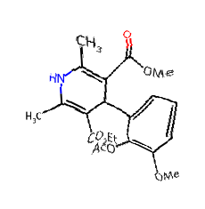 CCOC(=O)C1=C(C)NC(C)=C(C(=O)OC)C1c1cccc(OC)c1OC(C)=O